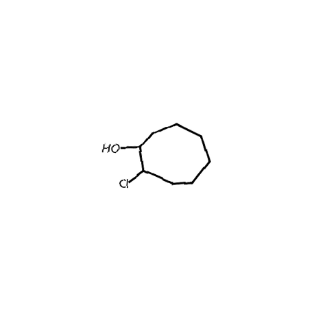 OC1CCCCCCC1Cl